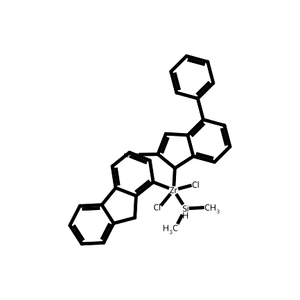 CCCCC1=Cc2c(-c3ccccc3)cccc2[CH]1[Zr]([Cl])([Cl])([c]1cccc2c1Cc1ccccc1-2)[SiH](C)C